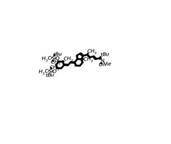 C=C1/C(=C\C=C2/CCCC3(C)C(C(C)C/C=C/C(=N\OC)C(C)(C)C)=CCC23)C[C@@H](O[Si](C)(C)C(C)(C)C)C[C@@H]1O[Si](C)(C)C(C)(C)C